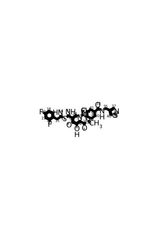 CN1C(=O)c2c(O)c(=O)c(C(=N)SC(=N)Cc3ccc(F)cc3F)cn2N(C)C12CCC(C(=O)NCc1cnoc1)CC2